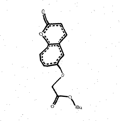 CCC(C)OC(=O)COc1ccc2oc(=O)ccc2c1